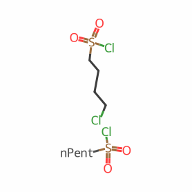 CCCCCS(=O)(=O)Cl.O=S(=O)(Cl)CCCCCl